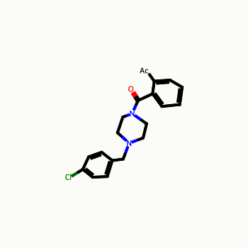 CC(=O)c1ccccc1C(=O)N1CCN(Cc2ccc(Cl)cc2)CC1